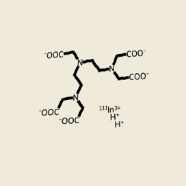 O=C([O-])CN(CCN(CC(=O)[O-])CC(=O)[O-])CCN(CC(=O)[O-])CC(=O)[O-].[111In+3].[H+].[H+]